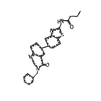 CCCC(=O)Nc1nc2cc(-c3ccc4ncn(Cc5ccccc5)c(=O)c4c3)ccc2s1